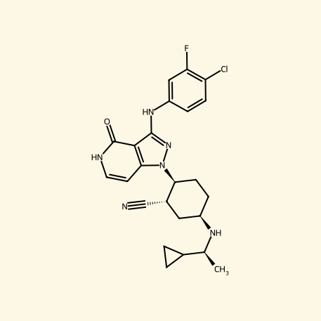 C[C@H](N[C@@H]1CC[C@H](n2nc(Nc3ccc(Cl)c(F)c3)c3c(=O)[nH]ccc32)[C@@H](C#N)C1)C1CC1